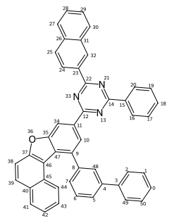 c1ccc(-c2cccc(-c3cc(-c4nc(-c5ccccc5)nc(-c5ccc6ccccc6c5)n4)cc4oc5ccc6ccccc6c5c34)c2)cc1